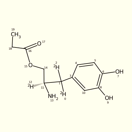 [2H]C([2H])(c1ccc(O)c(O)c1)[C@@]([2H])(N)COC(=O)CC